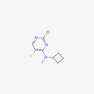 CN(c1nc(Cl)ncc1F)C1CCC1